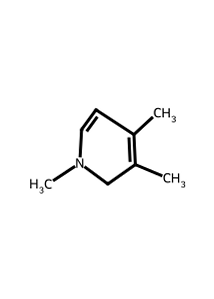 CC1=C(C)CN(C)C=C1